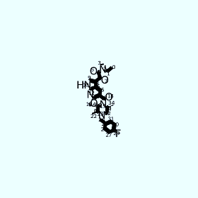 CCN(C)C(=O)C(=O)c1c[nH]c2nc(OC)c(C(=O)N3C[C@H](C)N(Cc4ccc(F)cc4)C[C@H]3C)cc12